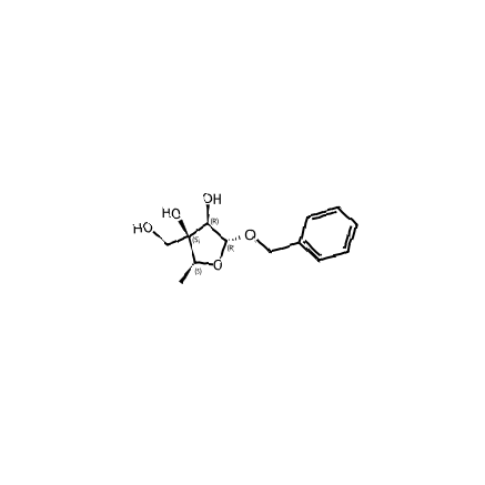 C[C@@H]1O[C@@H](OCc2ccccc2)[C@H](O)[C@@]1(O)CO